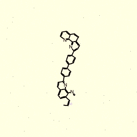 C=Nc1c(/C=C\C)ccc2ccc(-c3ccc(-c4ccc(-c5ccc6ccc7cccnc7c6n5)cc4)cc3)nc12